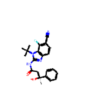 CC(C)(C)n1c(NC(=O)C[C@](C)(O)c2ccccc2)nc2ccc(C#N)c(F)c21